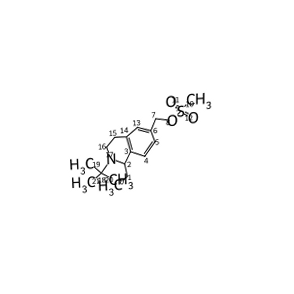 CCC1c2ccc(COS(C)(=O)=O)cc2CCN1C(C)(C)C